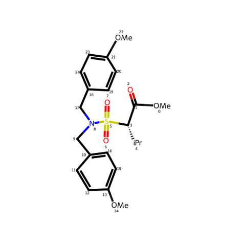 COC(=O)[C@H](C(C)C)S(=O)(=O)N(Cc1ccc(OC)cc1)Cc1ccc(OC)cc1